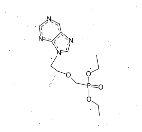 CCOP(=O)(CO[C@H](C)Cn1cnc2cncnc21)OCC